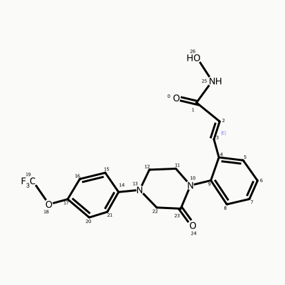 O=C(/C=C/c1ccccc1N1CCN(c2ccc(OC(F)(F)F)cc2)CC1=O)NO